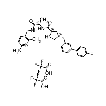 Cc1nc(N)ccc1CNC(=O)[C@H](C)NC(=O)[C@H]1C[C@H](Cc2cccc(-c3ccc(F)cc3)c2)CN1.O=C(O)C(F)(F)F.O=C(O)C(F)(F)F